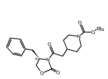 CC(C)(C)OC(=O)N1CCC(CC(=O)N2C(=O)OC[C@H]2Cc2ccccc2)CC1